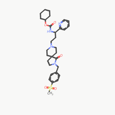 CS(=O)(=O)c1ccc(CN2CCC3(CCN(CCC(NC(=O)OC4CCCCC4)c4ccccn4)CC3)C2=O)cc1